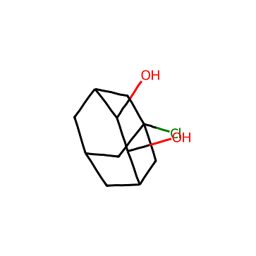 OC1C2CC3CC(CC(Cl)(C3)C2)C1O